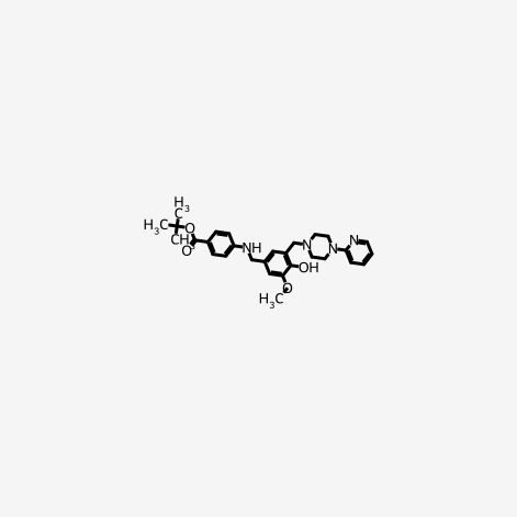 COc1cc(CNc2ccc(C(=O)OC(C)(C)C)cc2)cc(CN2CCN(c3ccccn3)CC2)c1O